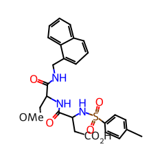 COCC(NC(=O)C(CC(=O)O)NS(=O)(=O)c1ccc(C)cc1)C(=O)NCc1cccc2ccccc12